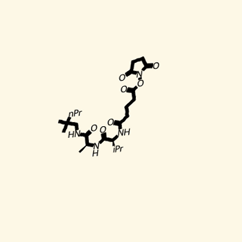 CCCC(C)(C)CNC(=O)[C@H](C)NC(=O)[C@@H](NC(=O)CCCC(=O)ON1C(=O)CCC1=O)C(C)C